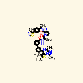 Cc1ncsc1-c1ccc(C(C)NC(=O)C2CCCN2C(=O)C(NC(=O)c2cccc(-c3cccc(C4=NC(C)c5nnc(C)n5-c5sc(C)c(C)c54)c3)c2)C(C)(C)C)cc1